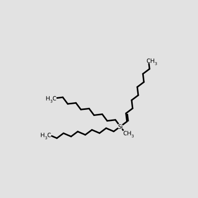 CCCCCCCCC=C[Si](C)(CCCCCCCCCC)CCCCCCCCCC